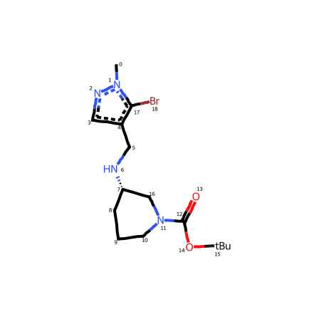 Cn1ncc(CN[C@H]2CCCN(C(=O)OC(C)(C)C)C2)c1Br